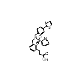 O=C(O)CCc1cccc(CN(Cc2ccc(-c3nccs3)cc2)S(=O)(=O)c2ccccn2)c1